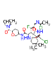 C=C(Cl)/N=C\C=C(/F)[C@H]1[C@H](C(=O)N[C@@H]2CC[C@@H](C(=O)N(CC)CC)OC2)NC2(CCC(C)(C)CC2)[C@@]12C(=O)Nc1cc(Cl)ccc12